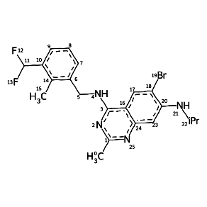 Cc1nc(NCc2cccc(C(F)F)c2C)c2cc(Br)c(NC(C)C)cc2n1